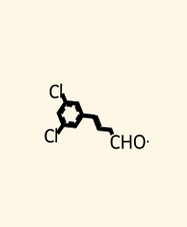 O=[C]CC=Cc1cc(Cl)cc(Cl)c1